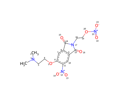 CN(C)CCOc1cc2c(cc1[N+](=O)[O-])C(=O)N(CCO[N+](=O)[O-])C2=O